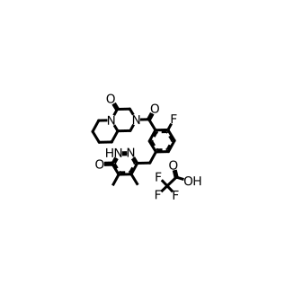 Cc1c(Cc2ccc(F)c(C(=O)N3CC(=O)N4CCCCC4C3)c2)n[nH]c(=O)c1C.O=C(O)C(F)(F)F